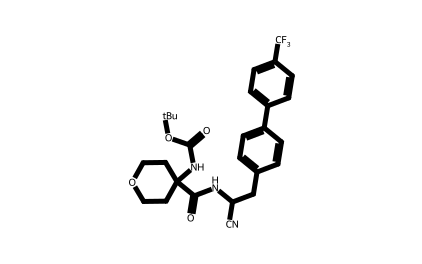 CC(C)(C)OC(=O)NC1(C(=O)NC(C#N)Cc2ccc(-c3ccc(C(F)(F)F)cc3)cc2)CCOCC1